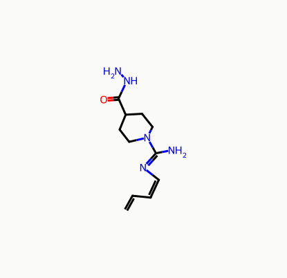 C=C/C=C\N=C(/N)N1CCC(C(=O)NN)CC1